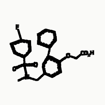 CN(Cc1ccc(OCC(=O)O)c(-c2ccccc2)c1)S(=O)(=O)c1ccc(F)cc1